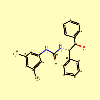 O[C@H](c1ccccc1)[C@@H](NC(=S)Nc1cc(C(F)(F)F)cc(C(F)(F)F)c1)c1ccccc1